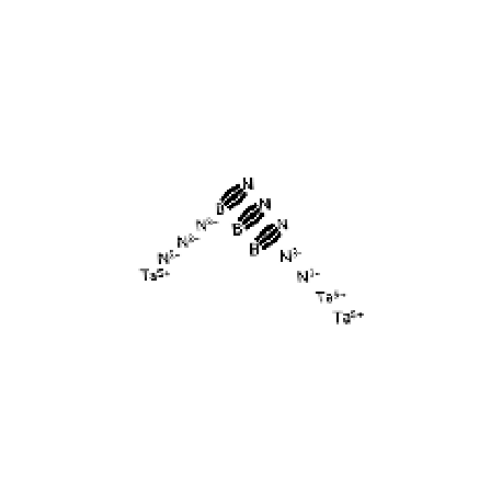 B#N.B#N.B#N.[N-3].[N-3].[N-3].[N-3].[N-3].[Ta+5].[Ta+5].[Ta+5]